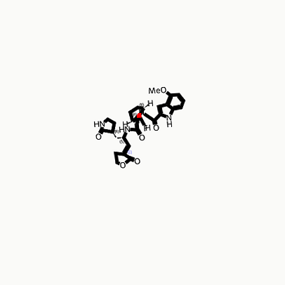 COc1cccc2[nH]c(C(=O)N3[C@@H]4CC[C@H]([C@@H]3C(=O)N[C@H](/C=C3\CCOC3=O)C[C@H]3CCNC3=O)C(F)(F)C4)cc12